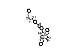 CC(C)C(NC(=O)C(CC(=O)OCc1ccccc1)NC(=O)c1ccc2c(c1)nc(-c1ccc(C(=N)NC(=O)OCc3ccccc3)cc1)n2C)C(=O)OCc1ccccc1